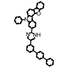 C1=NC(c2ccc3c4c5oc6ccccc6c5ccc4n(-c4ccccc4)c3c2)NC=C1c1cccc(-c2ccc(-c3ccccc3)cc2)c1